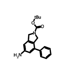 CC(C)(C)OC(=O)N1Cc2cc(N)cc(-c3ccccc3)c2C1